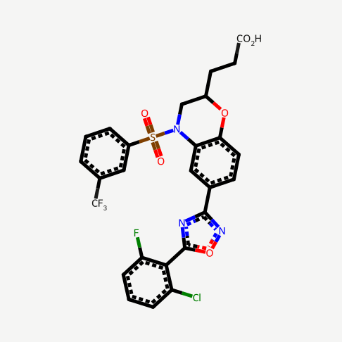 O=C(O)CCC1CN(S(=O)(=O)c2cccc(C(F)(F)F)c2)c2cc(-c3noc(-c4c(F)cccc4Cl)n3)ccc2O1